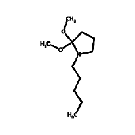 CCCCCN1CCCC1(OC)OC